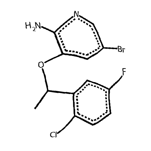 CC(Oc1cc(Br)cnc1N)c1cc(F)ccc1Cl